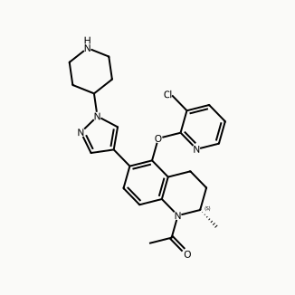 CC(=O)N1c2ccc(-c3cnn(C4CCNCC4)c3)c(Oc3ncccc3Cl)c2CC[C@@H]1C